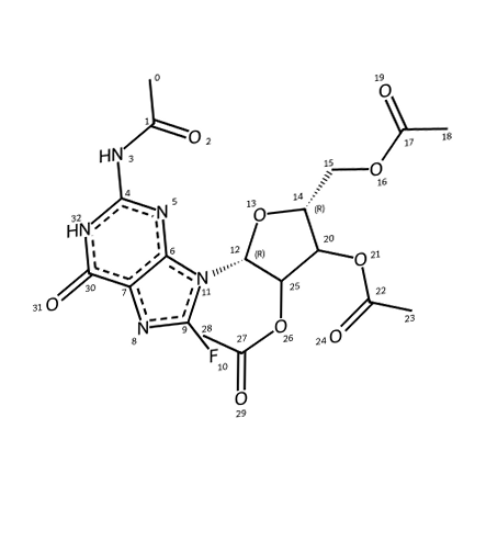 CC(=O)Nc1nc2c(nc(F)n2[C@@H]2O[C@H](COC(C)=O)C(OC(C)=O)C2OC(C)=O)c(=O)[nH]1